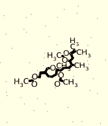 CC(=O)OC/C=C1\CC[C@@H](OC(C)=O)C(C)(CCCC(C)C(CC=C(C)C)OC(C)=O)OC1